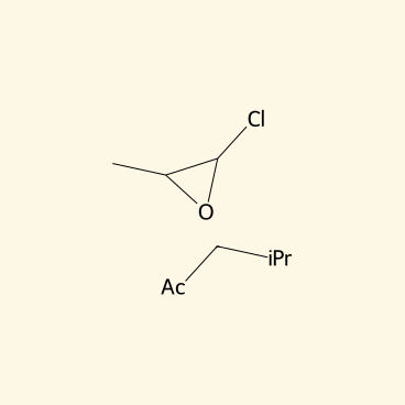 CC(=O)CC(C)C.CC1OC1Cl